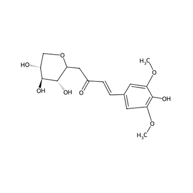 COc1cc(/C=C/C(=O)CC2OC[C@@H](O)[C@H](O)[C@H]2O)cc(OC)c1O